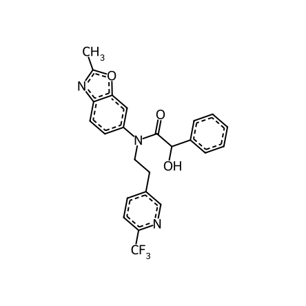 Cc1nc2ccc(N(CCc3ccc(C(F)(F)F)nc3)C(=O)C(O)c3ccccc3)cc2o1